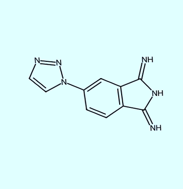 N=C1NC(=N)c2cc(-n3ccnn3)ccc21